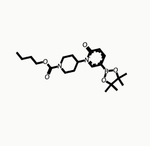 CCCCOC(=O)N1CCC(n2cc(B3OC(C)(C)C(C)(C)O3)ccc2=O)CC1